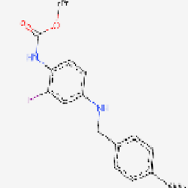 CCCOC(=O)Nc1ccc(NCc2ccc(SC)cc2)cc1I